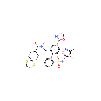 Cc1noc(NS(=O)(=O)c2ccccc2-c2ccc(-c3ncco3)cc2CN(C)C(=O)C2CCC3(CC2)SCCS3)c1C